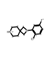 Fc1ccc(Cl)c(N2CC3(CCNCC3)C2)c1